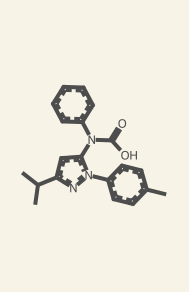 Cc1ccc(-n2nc(C(C)C)cc2N(C(=O)O)c2ccccc2)cc1